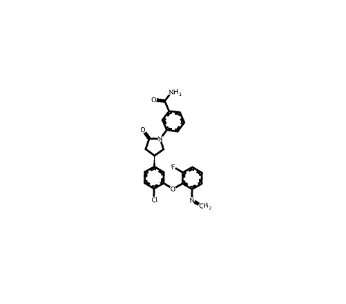 C=Nc1cccc(F)c1Oc1cc([C@H]2CC(=O)N(c3cccc(C(N)=O)c3)C2)ccc1Cl